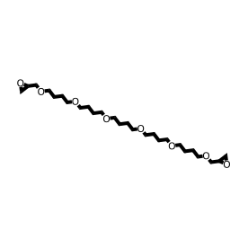 C(CCOCCCCOCCCCOCC1CO1)COCCCCOCCCCOCC1CO1